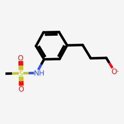 CS(=O)(=O)Nc1cccc(CCC[O])c1